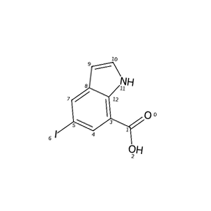 O=C(O)c1cc(I)cc2cc[nH]c12